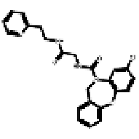 O=C(CNC(=O)N1Cc2ccccc2Oc2ccc(Cl)cc21)NCCc1ccccn1